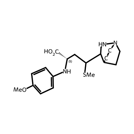 COc1ccc(N[C@@H](CC(SC)C2CNN3CCC2CC3)C(=O)O)cc1